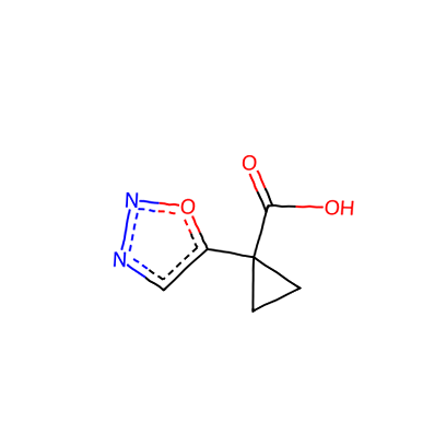 O=C(O)C1(c2cnno2)CC1